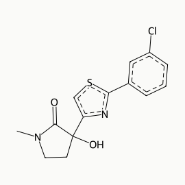 CN1CCC(O)(c2csc(-c3cccc(Cl)c3)n2)C1=O